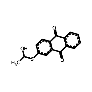 CC(O)Sc1ccc2c(c1)C(=O)c1ccccc1C2=O